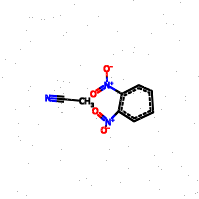 CC#N.O=[N+]([O-])c1ccccc1[N+](=O)[O-]